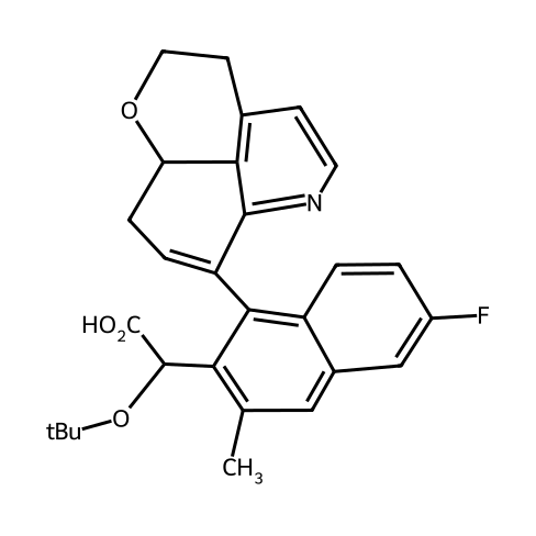 Cc1cc2cc(F)ccc2c(C2=CCC3OCCc4ccnc2c43)c1C(OC(C)(C)C)C(=O)O